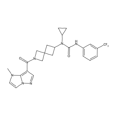 Cn1ccn2ncc(C(=O)N3CC4(CC(N(C(=O)Nc5cccc(C(F)(F)F)c5)C5CC5)C4)C3)c12